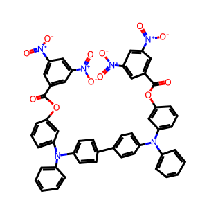 O=C(Oc1cccc(N(c2ccccc2)c2ccc(-c3ccc(N(c4ccccc4)c4cccc(OC(=O)c5cc([N+](=O)[O-])cc([N+](=O)[O-])c5)c4)cc3)cc2)c1)c1cc([N+](=O)[O-])cc([N+](=O)[O-])c1